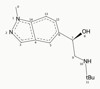 Cn1ncc2cc([C@@H](O)CNC(C)(C)C)ccc21